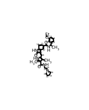 CCOc1cccc(C(C)NC(=O)c2ccc3c(c2)C(=Cc2[nH]c(C)c(C(=O)NCCN4CCCC4)c2C)C(=O)N3)c1